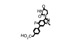 Cn1nc(N2CCC(=O)NC2=O)c2cc(F)c(-c3ccc(CC(=O)O)cc3)cc21